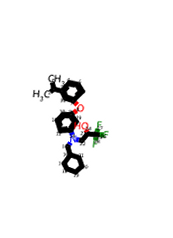 CC(C)c1cccc(Oc2cccc(N(CC3CCCCC3)CC(O)C(F)(F)F)c2)c1